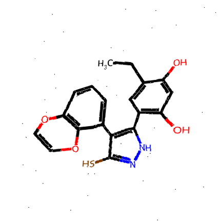 CCc1cc(-c2[nH]nc(S)c2-c2cccc3c2OC=CO3)c(O)cc1O